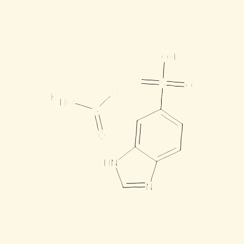 O=S(=O)(O)c1ccc2nc[nH]c2c1.O=S([O-])O.[K+]